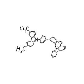 Cc1ccc2c(c1)c1cc(C)ccc1n2-c1ccc(-c2ccc3c(c2)-n2c4ccccc4c4cccc(c42)O3)cc1